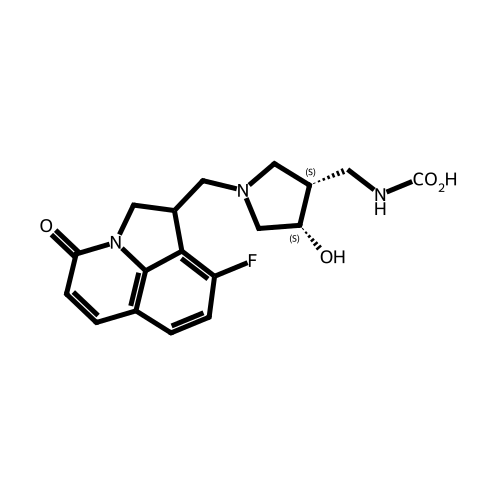 O=C(O)NC[C@H]1CN(CC2Cn3c(=O)ccc4ccc(F)c2c43)C[C@H]1O